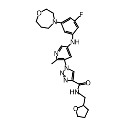 Cc1ncc(Nc2cc(F)cc(N3CCCOCC3)c2)cc1-n1cc(C(=O)NCC2CCCO2)nn1